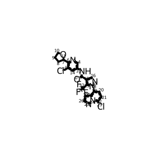 O=C(Nc1cnc(C2CCCO2)c(Cl)c1)c1cnn(-c2ccc(Cl)n3nccc23)c1C(F)(F)F